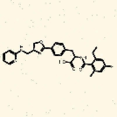 CCc1cc(F)cc(C)c1C(=O)NC(Cc1ccc(C2=NC(CNc3ccccn3)CO2)cc1)C(=O)O